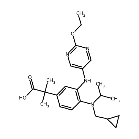 CCOc1ncc(Nc2cc(C(C)(C)C(=O)O)ccc2N(CC2CC2)C(C)C)cn1